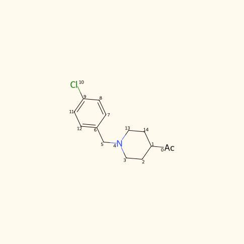 CC(=O)C1CCN(Cc2ccc(Cl)cc2)CC1